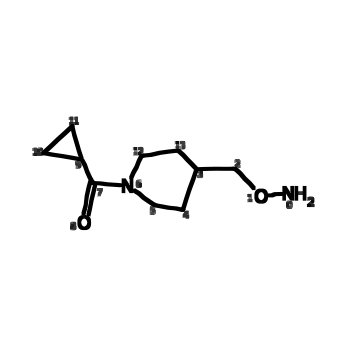 NOCC1CCN(C(=O)C2CC2)CC1